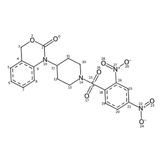 O=C1OCc2ccccc2N1C1CCN(S(=O)(=O)c2ccc([N+](=O)[O-])cc2[N+](=O)[O-])CC1